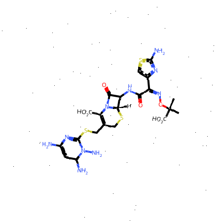 CC(C)(O/N=C(\C(=O)NC1C(=O)N2C(C(=O)O)=C(CSC3=NC(N)=CC(N)N3N)CS[C@@H]12)c1csc(N)n1)C(=O)O